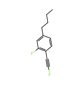 CCCCc1ccc(C#CF)c(F)c1